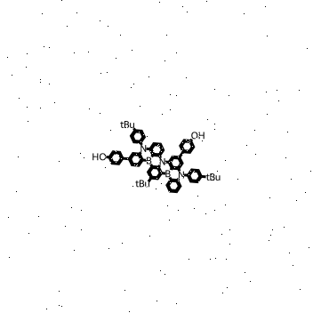 CC(C)(C)c1ccc(N2c3cc(-c4ccc(O)cc4)ccc3B3c4cc(C(C)(C)C)cc5c4N(c4cccc2c43)c2cc(-c3ccc(O)cc3)cc3c2B5c2ccccc2N3c2ccc(C(C)(C)C)cc2)cc1